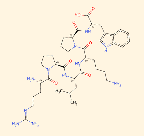 CC(C)C[C@H](NC(=O)[C@@H]1CCCN1C(=O)[C@@H](N)CCCN=C(N)N)C(=O)N[C@@H](CCCCN)C(=O)N1CCC[C@H]1C(=O)N[C@@H](Cc1c[nH]c2ccccc12)C(=O)O